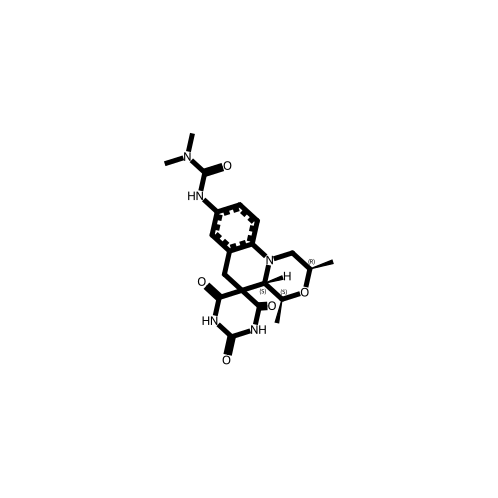 C[C@@H]1CN2c3ccc(NC(=O)N(C)C)cc3CC3(C(=O)NC(=O)NC3=O)[C@H]2[C@H](C)O1